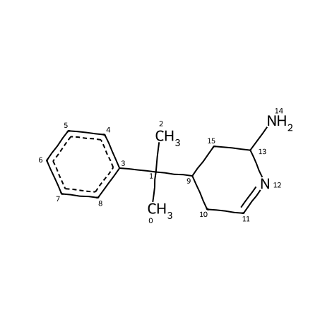 CC(C)(c1ccccc1)C1CC=NC(N)C1